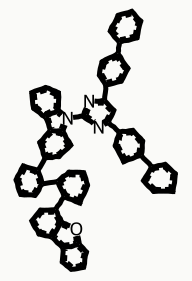 c1ccc(-c2ccc(-c3cc(-c4ccc(-c5ccccc5)cc4)nc(-n4c5ccccc5c5cc(-c6ccccc6-c6ccccc6-c6cccc7c6oc6ccccc67)ccc54)n3)cc2)cc1